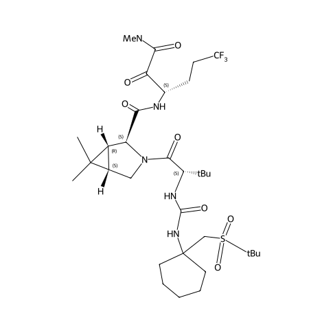 CNC(=O)C(=O)[C@H](CCC(F)(F)F)NC(=O)[C@@H]1[C@@H]2[C@H](CN1C(=O)[C@@H](NC(=O)NC1(CS(=O)(=O)C(C)(C)C)CCCCC1)C(C)(C)C)C2(C)C